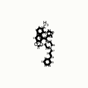 Cc1cccc(C)c1-n1nnnc1C(c1cccc2c1OCO2)N1CCN(CC=Cc2ccccc2)CC1